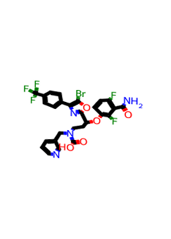 NC(=O)c1c(F)ccc(OC(CCN(Cc2cccnc2)C(=O)O)c2nc(-c3ccc(C(F)(F)F)cc3)c(Br)o2)c1F